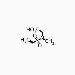 C=CS(=O)(=O)N(C)CC(=O)O